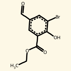 CCOC(=O)c1cc(C=O)cc(Br)c1O